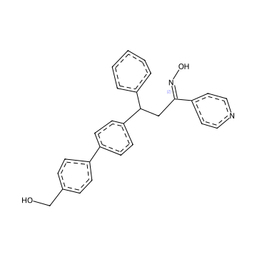 OCc1ccc(-c2ccc(C(C/C(=N/O)c3ccncc3)c3ccccc3)cc2)cc1